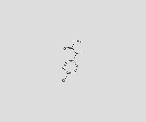 COC(=O)C(C)c1ccc(Cl)nc1